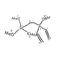 C=C[Si](C=C)(C[Si](OC)(OC)OC)OC